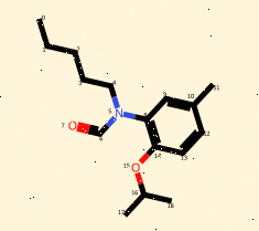 CCCCCN(C=O)c1cc(C)ccc1OC(C)C